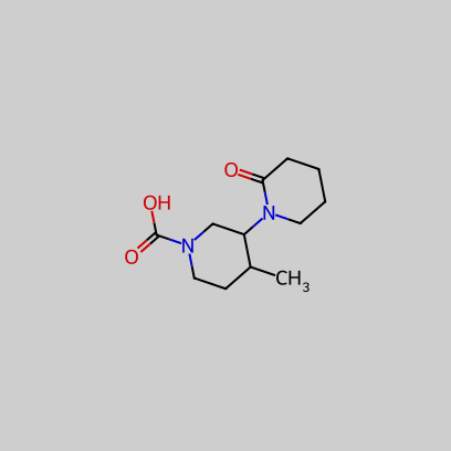 CC1CCN(C(=O)O)CC1N1CCCCC1=O